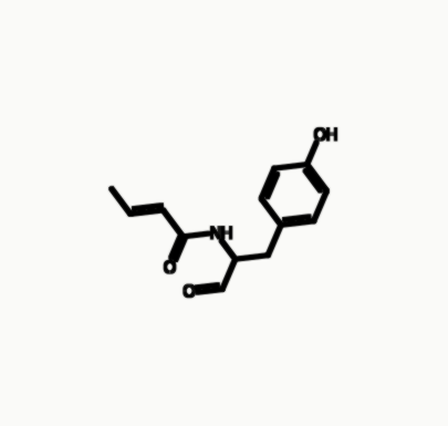 C/C=C/C(=O)NC(C=O)Cc1ccc(O)cc1